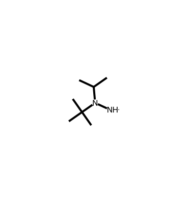 CC(C)N([NH])C(C)(C)C